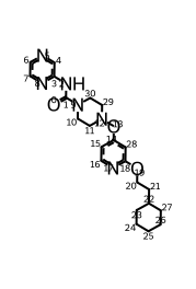 O=C(Nc1cnccn1)N1CCN(Oc2ccnc(OCCC3CCCCC3)c2)CC1